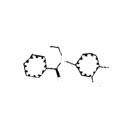 COc1cc(N(CC(C)C)C(=O)c2ccccc2)ccc1C